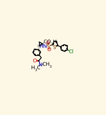 CN(C)C(=O)Cc1cccc([C@@H]2C[C@]2(NS(=O)(=O)c2ccc(-c3ccc(Cl)cc3)s2)C(=O)O)c1